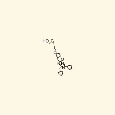 O=C(O)CCCCCOc1cccc(C=C2N=C3C(Cc4ccccc4)=NC(c4ccccc4)=CN3C2=O)c1